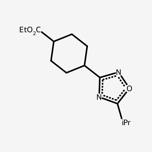 CCOC(=O)C1CCC(c2noc(C(C)C)n2)CC1